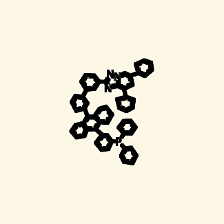 c1ccc(-c2cc(-c3ccccc3)c3nc(-c4cccc(-c5cccc(-c6c7ccccc7c(-c7cccc(P(c8ccccc8)c8ccccc8)c7)c7ccccc67)c5)c4)nn3c2)cc1